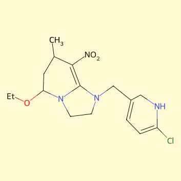 CCOC1CC(C)C([N+](=O)[O-])=C2N(CC3=CC=C(Cl)NC3)CCN21